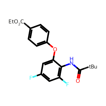 CCOC(=O)c1ccc(Oc2cc(F)cc(F)c2NC(=O)C(C)(C)C)cc1